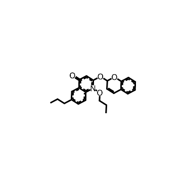 CCCOn1c(OC2C=Cc3ccccc3O2)cc(=O)c2cc(CCC)ccc21